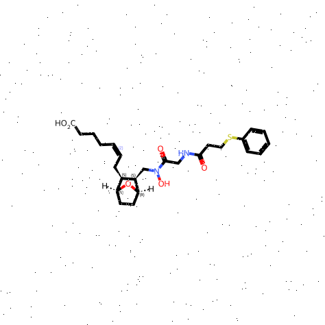 O=C(O)CCC/C=C\C[C@H]1[C@@H](CN(O)C(=O)CNC(=O)CCSc2ccccc2)[C@H]2CC[C@@H]1O2